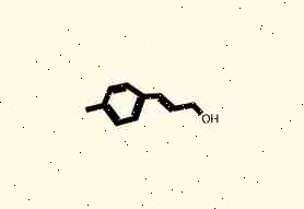 Cc1ccc(/C=C/CO)cc1